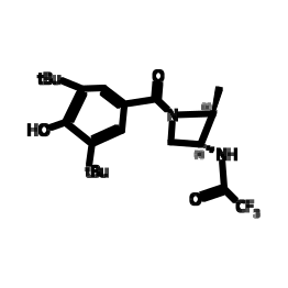 C[C@H]1[C@H](NC(=O)C(F)(F)F)CN1C(=O)c1cc(C(C)(C)C)c(O)c(C(C)(C)C)c1